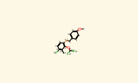 COc1ccc(CSc2ccc(F)c(C)c2OC(F)F)cc1